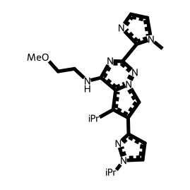 COCCNc1nc(-c2nccn2C)nn2cc(-c3ccn(C(C)C)n3)c(C(C)C)c12